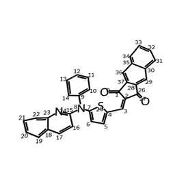 O=C1C(=Cc2ccc(N(c3ccccc3)c3ccc4ccccc4n3)s2)C(=O)c2cc3ccccc3cc21